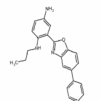 CCCNc1ccc(N)cc1-c1nc2cc(-c3ccccc3)ccc2o1